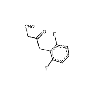 O=CCC(=O)Cc1c(F)cccc1F